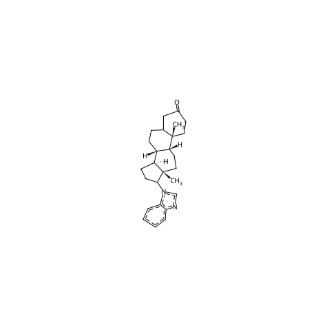 C[C@]12CCC(=O)CC1CC[C@@H]1[C@H]2CC[C@]2(C)C(n3cnc4ccccc43)CC[C@@H]12